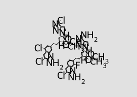 CC1(C)O[C@@H]2[C@H](O1)C(CCc1cc(Cl)c3cc(Cl)c(N)nc3c1)=C[C@H]2n1ccc2c(Cl)ncnc21.CC1(C)O[C@@H]2[C@H](O1)C(CCc1ccc3cc(Cl)c(N)nc3c1F)=C[C@H]2n1ccc2c(N)ncnc21